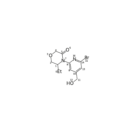 CCC1COCC(=O)N1c1cc(CO)cc(Br)n1